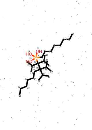 CCCCCCCCP(O)(O)(O)C(C(C)C)(C(C)C)C(CCCCCC)(C(C)C)C(C)C